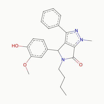 CCCCN1C(=O)c2c(c(-c3ccccc3)nn2C)C1c1ccc(O)c(OC)c1